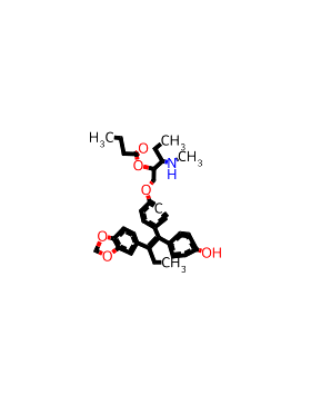 CCCC(=O)OC(COc1ccc(C(=C(CC)c2ccc3c(c2)OCO3)c2ccc(O)cc2)cc1)C(CC)NC